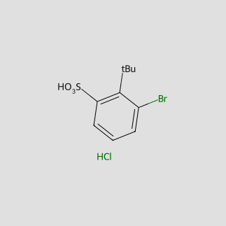 CC(C)(C)c1c(Br)cccc1S(=O)(=O)O.Cl